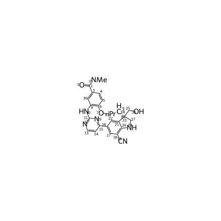 CNC(=O)c1ccc(OC(C)C)c(Nc2nccc(-c3cc(C#N)c4c(c3)[C@@](C)(CO)CN4)n2)c1